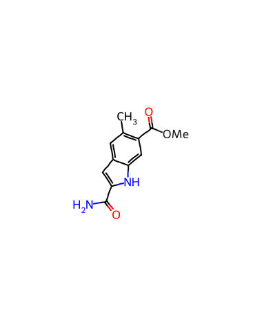 COC(=O)c1cc2[nH]c(C(N)=O)cc2cc1C